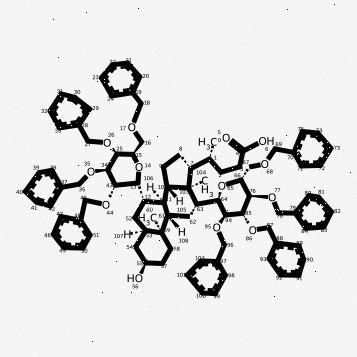 C[C@H](CCC(=O)O)[C@H]1CC[C@H]2[C@@H]3[C@@H](C4O[C@H](COCc5ccccc5)[C@@H](OCc5ccccc5)[C@H](OCc5ccccc5)[C@H]4OCc4ccccc4)C[C@@H]4C[C@H](O)CC[C@]4(C)[C@H]3C[C@@H]([C@@H]3O[C@H](COCc4ccccc4)[C@@H](OCc4ccccc4)[C@H](OCc4ccccc4)[C@H]3OCc3ccccc3)[C@]12C